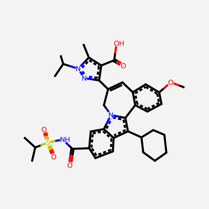 COc1ccc2c(c1)C=C(c1nn(C(C)C)c(C)c1C(=O)O)Cn1c-2c(C2CCCCC2)c2ccc(C(=O)NS(=O)(=O)C(C)C)cc21